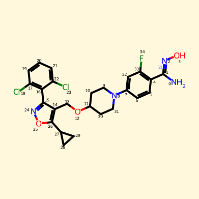 N/C(=N\O)c1ccc(N2CCC(OCc3c(-c4c(Cl)cccc4Cl)noc3C3CC3)CC2)cc1F